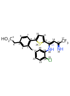 Cc1cc(CC(=O)O)ccc1-c1ccc(/C(=C/C(=N)C(F)(F)F)Nc2ccccc2Cl)s1